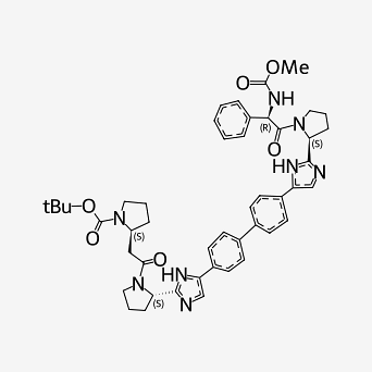 COC(=O)N[C@@H](C(=O)N1CCC[C@H]1c1ncc(-c2ccc(-c3ccc(-c4cnc([C@@H]5CCCN5C(=O)C[C@@H]5CCCN5C(=O)OC(C)(C)C)[nH]4)cc3)cc2)[nH]1)c1ccccc1